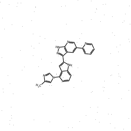 Cc1cn(-c2cccc3[nH]c(-c4n[nH]c5ncc(-c6ccccn6)cc45)cc23)cn1